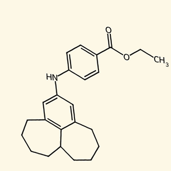 CCOC(=O)c1ccc(Nc2cc3c4c(c2)CCCCC4CCCC3)cc1